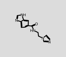 O=C(NCCn1ccnc1)c1ccc2nc[nH]c2c1